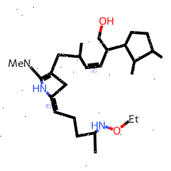 CCONC(C)CC/C=C1\CC(CC(C)/C=C\C(CO)C2CCC(C)C2C)=C(NC)N1